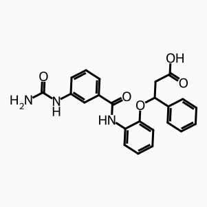 NC(=O)Nc1cccc(C(=O)Nc2ccccc2OC(CC(=O)O)c2ccccc2)c1